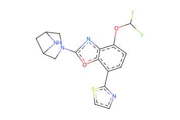 FC(F)Oc1ccc(-c2nccs2)c2oc(N3CC4CC(C3)N4)nc12